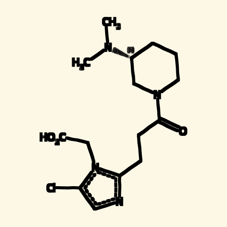 CN(C)[C@@H]1CCCN(C(=O)CCc2ncc(Cl)n2CC(=O)O)C1